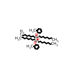 CCCCCCC[CH2][Sn]([CH2]CCCCCCC)([O]c1ccccc1C)[O][Sn]([CH2]CCCCCCC)([CH2]CCCCCCC)[O]c1ccccc1C